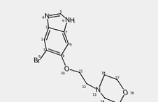 Brc1cc2nc[nH]c2cc1OCCN1CCOCC1